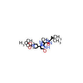 Cc1nn2c(C3CCN(C(=O)OC(C)(C)C)CC3)cc(=O)[nH]c2c1-c1nc(C2CC2(C)C)no1